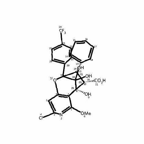 COc1nc(Cl)cc2c1[C@]1(O)[C@@H](C(=O)O)[C@@H](c3ccccc3)C(c3ccc(C(F)(F)F)cc3)(O2)C1(O)O